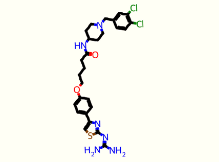 NC(N)=Nc1nc(-c2ccc(OCCCCC(=O)NC3CCN(Cc4ccc(Cl)c(Cl)c4)CC3)cc2)cs1